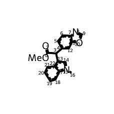 COC(=O)C(c1ccc2ncoc2c1)c1cn(C)c2ccccc12